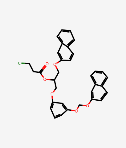 O=C(CCCl)OC(COc1cccc(OCOc2ccc3ccccc3c2)c1)COc1ccc2ccccc2c1